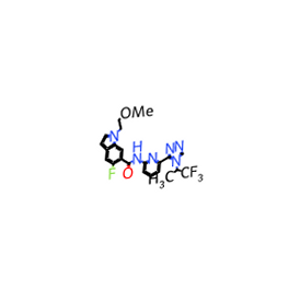 COCCn1ccc2cc(F)c(C(=O)Nc3cccc(-c4nncn4C(C)C(F)(F)F)n3)cc21